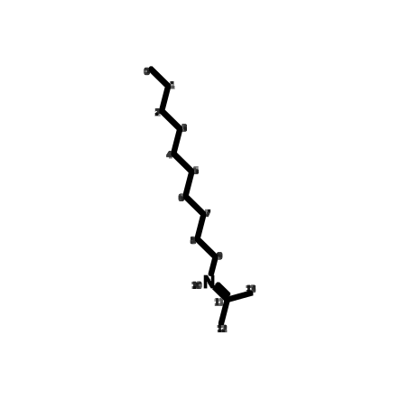 CCCCCCCCCCN=C(C)C